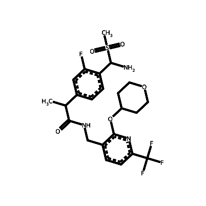 CC(C(=O)NCc1ccc(C(F)(F)F)nc1OC1CCOCC1)c1ccc(C(N)S(C)(=O)=O)c(F)c1